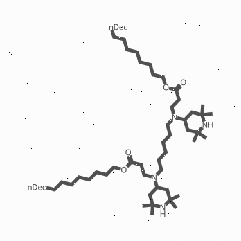 CCCCCCCCCCCCCCCCCCOC(=O)CCN(CCCCCCN(CCC(=O)OCCCCCCCCCCCCCCCCCC)C1CC(C)(C)NC(C)(C)C1)C1CC(C)(C)NC(C)(C)C1